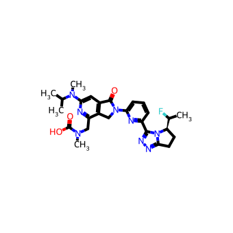 CC(F)[C@H]1CCc2nnc(-c3cccc(N4Cc5c(cc(N(C)C(C)C)nc5CN(C)C(=O)O)C4=O)n3)n21